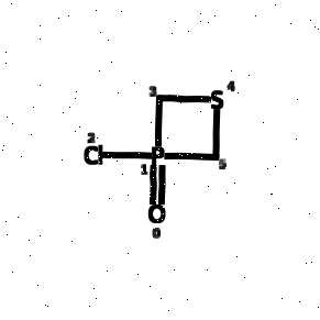 O=P1(Cl)CSC1